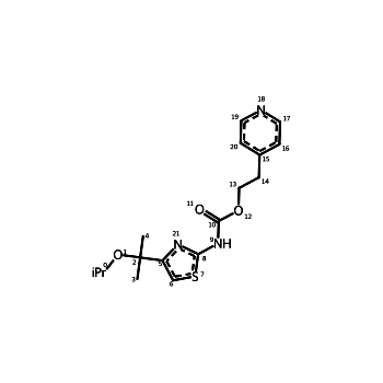 CC(C)OC(C)(C)c1csc(NC(=O)OCCc2ccncc2)n1